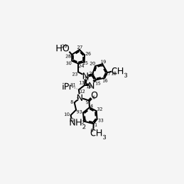 Cc1ccc(C(=O)N(CCCN)[C@@H](c2nc3cc(C)ccc3n2Cc2cccc(O)c2)C(C)C)cc1